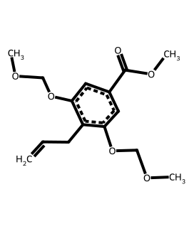 C=CCc1c(OCOC)cc(C(=O)OC)cc1OCOC